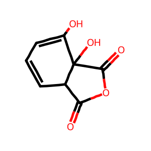 O=C1OC(=O)C2(O)C(O)=CC=CC12